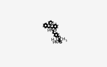 CC(C)(Oc1ccc(CC(=O)NC(CCc2ccccc2)c2ccccc2N2CCCCC2)cc1)C(=O)O